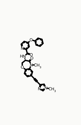 CN1C(=O)[C@H](NC(=O)c2cc(Oc3ccccc3)ccn2)COc2ccc(C#Cc3cn(C)cn3)cc21